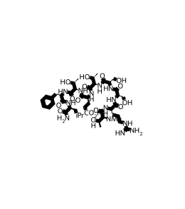 CN[C@H](C(=O)N[C@@H](CCCNC(=N)N)C(=O)N[C@@H](CO)C(=O)N[C@@H](CO)C(=O)N[C@H](C(=O)N[C@@H](CCC(=O)O)C(=O)N[C@H](C(=O)N[C@@H](Cc1ccccc1)C(=O)N[C@@H](CC(C)C)C(N)=O)[C@@H](C)O)[C@@H](C)O)[C@@H](C)O